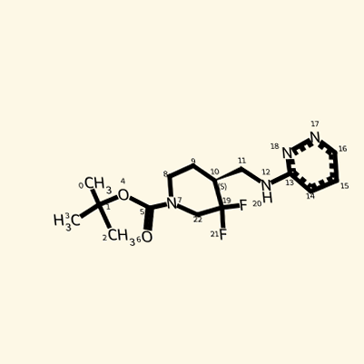 CC(C)(C)OC(=O)N1CC[C@@H](CNc2cccnn2)C(F)(F)C1